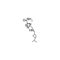 CC(C)C1CC(CNCc2noc(C(N)=O)n2)C1